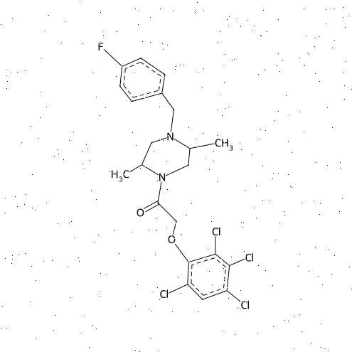 CC1CN(C(=O)COc2c(Cl)cc(Cl)c(Cl)c2Cl)C(C)CN1Cc1ccc(F)cc1